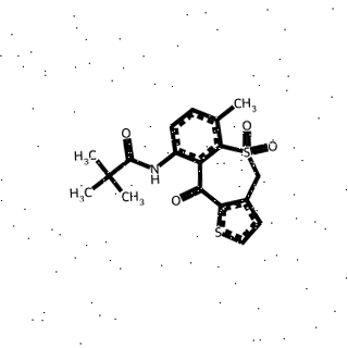 Cc1ccc(NC(=O)C(C)(C)C)c2c1S(=O)(=O)Cc1ccsc1C2=O